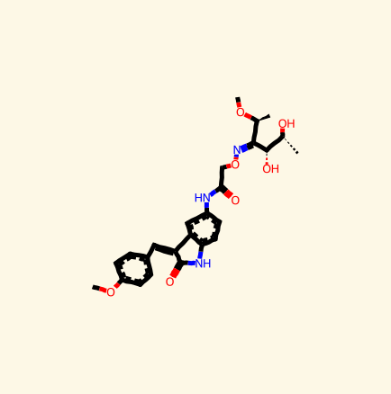 COc1ccc(/C=C2\C(=O)Nc3ccc(NC(=O)CO/N=C(/[C@H](C)OC)[C@@H](O)[C@@H](C)O)cc32)cc1